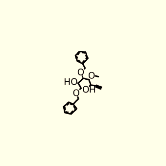 C#CC(O)[C@H](OC)[C@H](OCc1ccccc1)[C@H](O)COCc1ccccc1